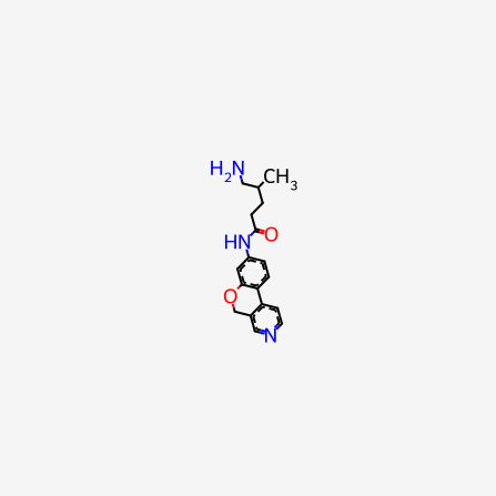 CC(CN)CCC(=O)Nc1ccc2c(c1)OCc1cnccc1-2